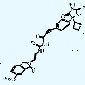 COc1ccc2c(c1)C(=O)N(CCNC(=O)NC(=O)C#Cc1ccc(C3(C4CCC4)NC(=O)NC3=O)cc1)C2